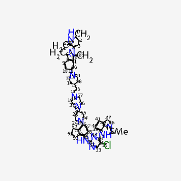 C=C1CCC(n2c(=C)c3ccc(N4CCC(CCN5CCN(C6CCN(c7ccc(Nc8ncc(Cl)c(Nc9cccc%10c9N(SC)CC%10)n8)c8c7CCC8)CC6)CC5)CC4)cc3c2=C)C(=C)N1